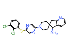 N[C@@H]1c2cccnc2CC12CCN(c1cnc(Sc3cccc(Cl)c3Cl)cn1)CC2